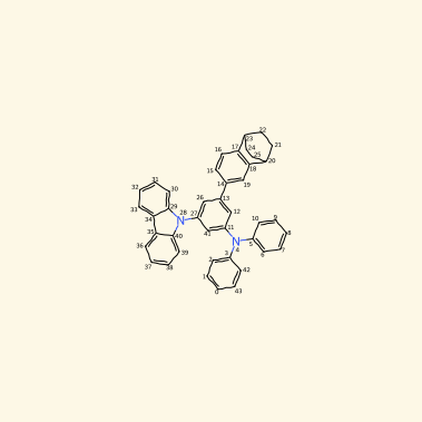 c1ccc(N(c2ccccc2)c2cc(-c3ccc4c(c3)C3CCC4CC3)cc(-n3c4ccccc4c4ccccc43)c2)cc1